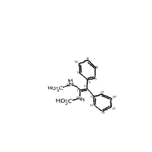 O=C(O)NC(NC(=O)O)=C(c1ccccc1)c1ccccc1